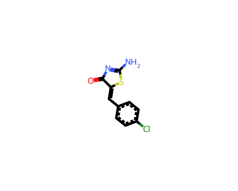 NC1=NC(=O)C(=Cc2ccc(Cl)cc2)S1